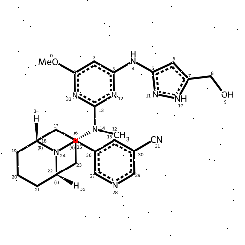 COc1cc(Nc2cc(CO)[nH]n2)nc(N(C)[C@H]2C[C@H]3CCC[C@@H](C2)N3Cc2cncc(C#N)c2)n1